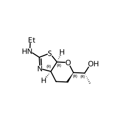 CCNC1=N[C@@H]2CC[C@H]([C@@H](C)O)O[C@@H]2S1